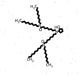 CCCCCCCCCCN(CCCCCCCCCC)C(=O)CCCCCCCN(CCCCCCCC(=O)N(CCCCCCCCCC)CCCCCCCCCC)[C@H]1CCC[C@@H]1O